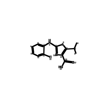 CC(C)c1sc(Nc2ccccc2Cl)nc1C(=O)O